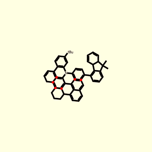 CC(C)(C)c1ccc(C2=CCCC=C2)c(N(c2ccc(-c3cccc4c3C3C=CC=CC3C4(C)C)cc2)c2ccccc2-c2cccc3cccc(C4CCCCC4)c23)c1